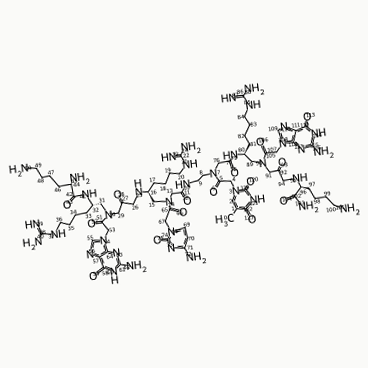 Cc1cn(CC(=O)N(CCNC(=O)CN(C[C@H](CCCCNC(=N)N)NCC(=O)CN(C[C@H](CCCCNC(=N)N)NC(=O)[C@@H](N)CCCCN)C(=O)Cn2cnc3c(=O)[nH]c(N)nc32)C(=O)Cn2ccc(N)nc2=O)CC(=O)N[C@@H](CCCCNC(=N)N)CN(CC(=O)CN[C@@H](CCCCN)C(N)=O)C(=O)Cn2cnc3c(=O)[nH]c(N)nc32)c(=O)[nH]c1=O